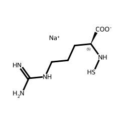 N=C(N)NCCC[C@H](NS)C(=O)[O-].[Na+]